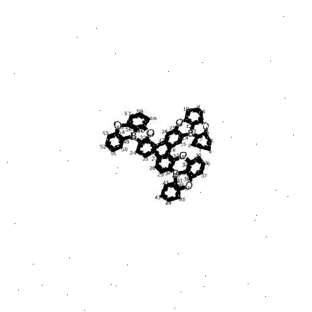 c1ccc2c(c1)Oc1cccc3c1B2c1cc2c(cc1O3)c1c3c(ccc1c1ccc4c(c12)Oc1cccc2c1B4c1ccccc1O2)B1c2ccccc2Oc2cccc(c21)O3